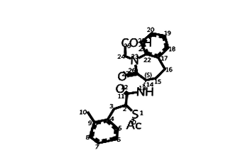 CC(=O)SC(Cc1ccccc1C)C(=O)N[C@H]1CCc2ccccc2N(CC(=O)O)C1=O